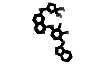 CC1(C)COC(Nc2ccc3ncnc(Nc4ccc(ON5C=NN6CC=CC=C65)c(Cl)c4F)c3c2)=N1